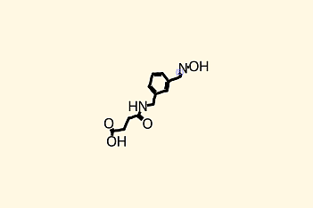 O=C(O)CCC(=O)NCc1cccc(/C=N/O)c1